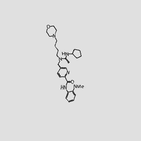 C=C(NC1CCCC1)N(CCCCN1CCOCC1)Cc1ccc(C(=O)Nc2ccccc2NC)nc1